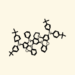 CC(C)(C)c1ccc(N(c2ccc(C(C)(C)C)cc2)c2cc3c4c(c2)N2CCCc5c2c(cc2c5N(c5ccccc5)c5cc(N(c6ccc(C(C)(C)C)cc6)c6ccc(C(C)(C)C)cc6)cc6c5B2c2ccccc2O6)B4c2ccccc2O3)cc1